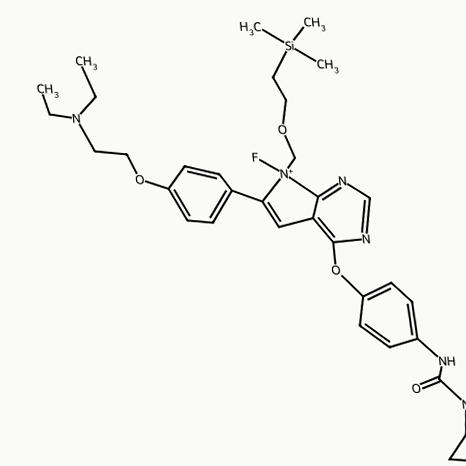 CCN(CC)CCOc1ccc(C2=Cc3c(Oc4ccc(NC(=O)NC5CC5)cc4)ncnc3[N+]2(F)COCC[Si](C)(C)C)cc1